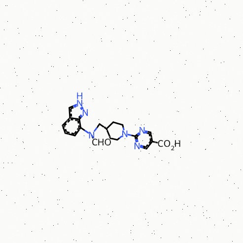 O=CN(CC1CCN(c2ncc(C(=O)O)cn2)CC1)c1cccc2c[nH]nc12